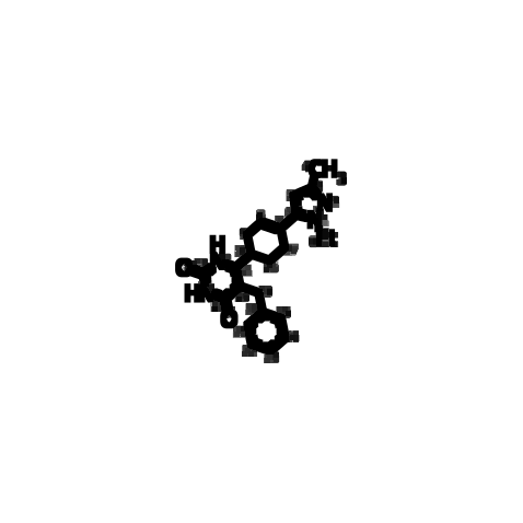 CCn1nc(C)cc1C1=CCC(c2[nH]c(=O)[nH]c(=O)c2Cc2ccccc2)CC1